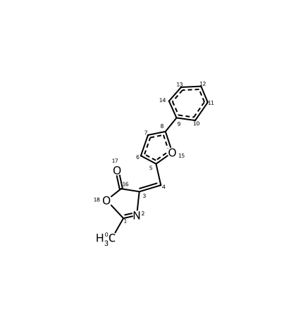 CC1=N/C(=C/c2ccc(-c3ccccc3)o2)C(=O)O1